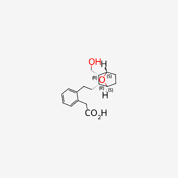 O=C(O)Cc1ccccc1CC[C@@H]1[C@H](CO)[C@@H]2CC[C@@H]1O2